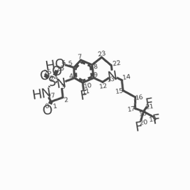 O=C1CN(c2c(O)cc3c(c2F)CN(CCCCC(F)(F)F)CC3)S(=O)(=O)N1